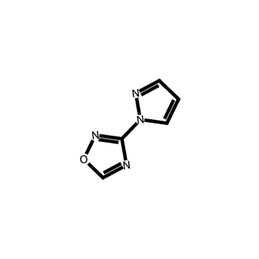 c1cnn(-c2ncon2)c1